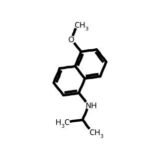 COc1cccc2c(NC(C)C)cccc12